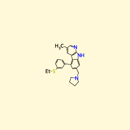 CCSc1cccc(-c2cc(CN3CCCC3)cc3[nH]c4ncc(C)cc4c23)c1